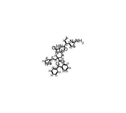 Nc1nc(C(=CI)C(=O)NC2C(=O)N3CC(CSc4nncs4)(C(=O)OC(c4ccccc4)c4ccccc4)CS[C@H]23)cs1